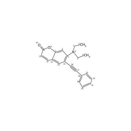 CCN(CC)c1cc2oc(=O)ccc2cc1C#Cc1ccccc1